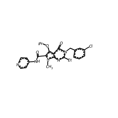 CCc1nc2c(c(OC(C)C)c(C(=O)Nc3ccncc3)n2C)c(=O)n1Cc1cccc(Cl)c1